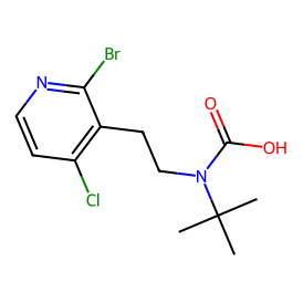 CC(C)(C)N(CCc1c(Cl)ccnc1Br)C(=O)O